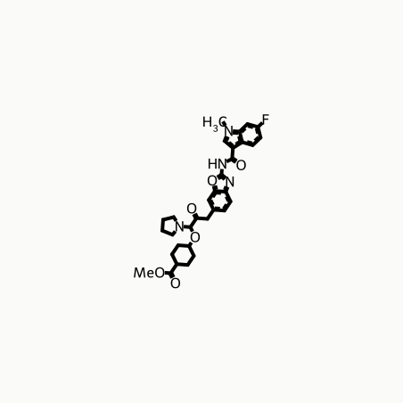 COC(=O)C1CCC(OC(C(=O)Cc2ccc3nc(NC(=O)c4cn(C)c5cc(F)ccc45)oc3c2)N2CCCC2)CC1